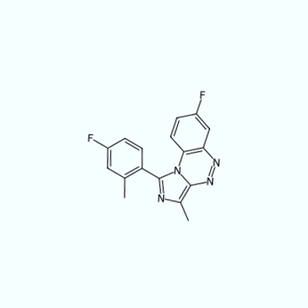 Cc1cc(F)ccc1-c1nc(C)c2nnc3cc(F)ccc3n12